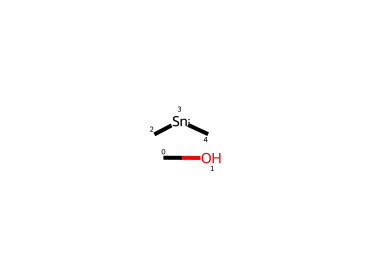 CO.[CH3][Sn][CH3]